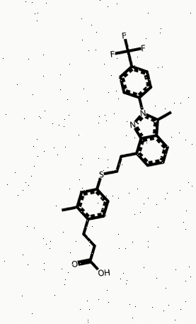 Cc1cc(SCCc2cccc3c(C)n(-c4ccc(C(F)(F)F)cc4)nc23)ccc1CCC(=O)O